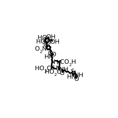 O=C(O)CN1CCN(CCNC(=O)OCc2ccc(OC3OC(CO)C(O)C(O)C3O)c([N+](=O)[O-])c2)CCN(CC(=O)O)CCN([C@H](NC(=O)CCCCC2SCC3NC(=O)NC32)C(=O)O)CC1